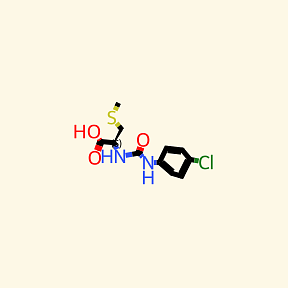 CSC[C@@H](NC(=O)Nc1ccc(Cl)cc1)C(=O)O